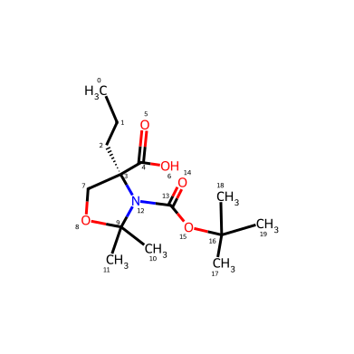 CCC[C@@]1(C(=O)O)COC(C)(C)N1C(=O)OC(C)(C)C